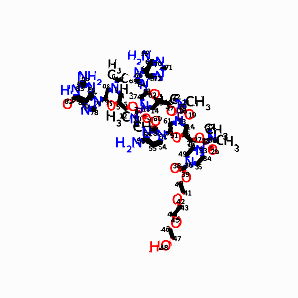 CC(C)N1CC(COP(=O)(N(C)C)N2CC(COP(=O)(N(C)C)N3CC(COP(=O)(N(C)C)N4CCN(C(=O)OCCOCCOCCO)CC4)OC(n4ccc(N)nc4=O)C3)OC(n3cnc4c(N)ncnc43)C2)OC(n2cnc3c(=O)[nH]c(N)nc32)C1